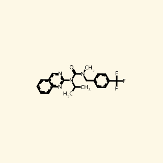 CC(C)N(C(=O)N(C)Cc1ccc(C(F)(F)F)cc1)c1ncc2ccccc2n1